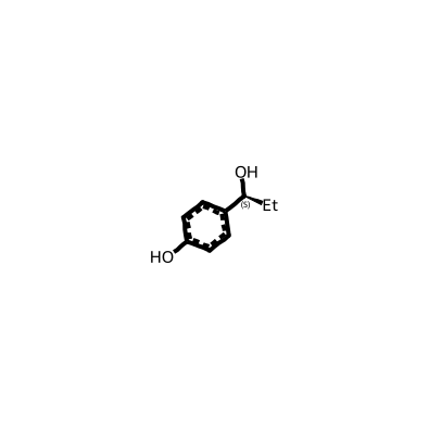 CC[C@H](O)c1ccc(O)cc1